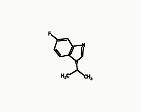 CC(C)n1cnc2cc(F)ccc21